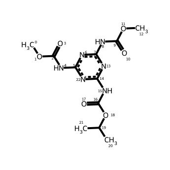 COC(=O)Nc1nc(NC(=O)OC)nc(NC(=O)OC(C)C)n1